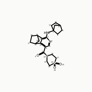 O=C(c1cnc(NC23CCC(CC2)C3)c2c1C1CCC2C1)N1CCS(=O)(=O)CC1